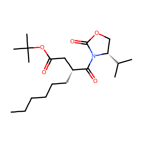 CCCCCC[C@H](CC(=O)OC(C)(C)C)C(=O)N1C(=O)OC[C@@H]1C(C)C